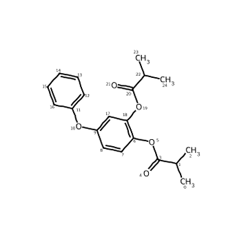 CC(C)C(=O)Oc1ccc(Oc2ccccc2)cc1OC(=O)C(C)C